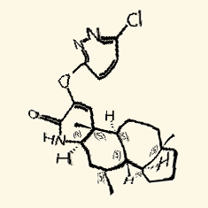 C[C@H]1C[C@H]2NC(=O)C(Oc3ccc(Cl)nn3)=C[C@]2(C)[C@H]2CC[C@]3(C)CCC[C@H]3[C@H]12